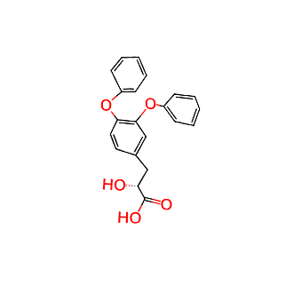 O=C(O)[C@H](O)Cc1ccc(Oc2ccccc2)c(Oc2ccccc2)c1